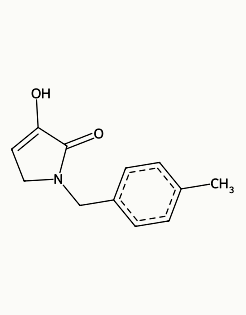 Cc1ccc(CN2CC=C(O)C2=O)cc1